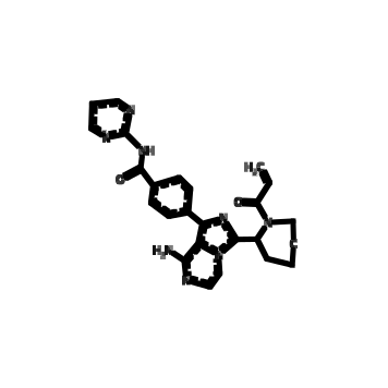 C=CC(=O)N1CCCCC1c1nc(-c2ccc(C(=O)Nc3ncccn3)cc2)c2c(N)nccn12